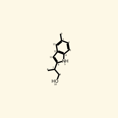 Cc1ccc2[nH]c(C(C)CO)cc2c1